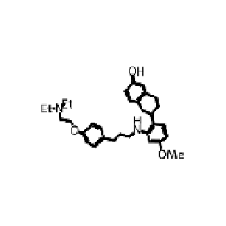 CCN(CC)CCOc1ccc(CCCNc2cc(OC)ccc2C2CCc3cc(O)ccc3C2)cc1